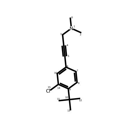 CN(C)CC#Cc1ccc(C(C)(C)C)c(Cl)c1